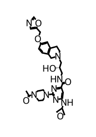 CC(=O)N1CCN(c2nc(NC3COC3)cc(C(=O)NC[C@H](O)CN3CCc4cc(OCc5cnco5)ccc4C3)n2)CC1